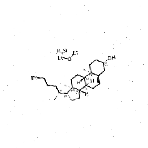 CC(C)CCC[C@@H](C)[C@H]1CC[C@H]2[C@@H]3CC=C4C[C@@H](O)CC[C@]4(C)[C@H]3CC[C@]12C.CCOCC.[SiH4]